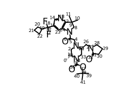 C[C@@H]1CN(CC(=O)N2CC(C)(C)c3ncc(C(F)(F)C4CCC4)cc32)[C@@H](CN2CCCC2=O)CN1C(=O)OC(C)(C)C